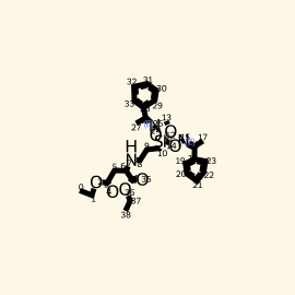 CCOC(=O)CC(NCCC[Si](OC)(O/N=C(/C)c1ccccc1)O/N=C(\C)c1ccccc1)C(=O)OCC